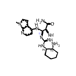 Cn1ccc2c(N/C(=N/C(=N)N[C@@H]3CCCC[C@@H]3N)C(=N)C(N)=O)ccnc21